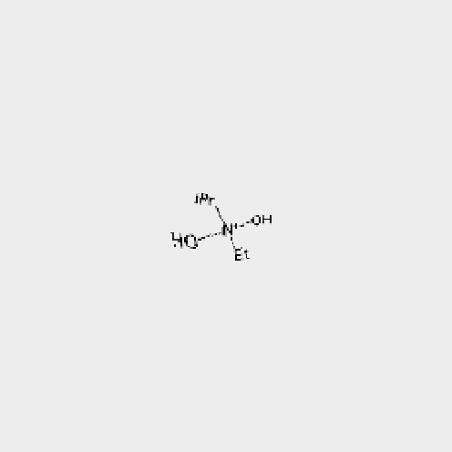 CC[N+](O)(O)C(C)C